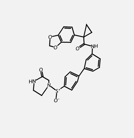 O=C1CN([S+]([O-])c2ccc(-c3cccc(NC(=O)C4(c5ccc6c(c5)OCO6)CC4)c3)cc2)CCN1